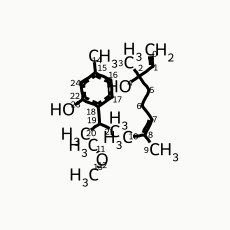 C=CC(C)(O)CCC=C(C)C.COC.Cc1ccc(C(C)C)c(O)c1